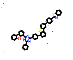 c1ccc(-c2nc(-c3ccc(-c4cccc5c4sc4ccc(-c6ccc(-c7nc8ccccc8s7)cc6)cc45)cc3)nc(-c3cccc4c3oc3ccccc34)n2)cc1